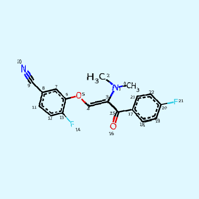 CN(C)C(=COc1cc(C#N)ccc1F)C(=O)c1ccc(F)cc1